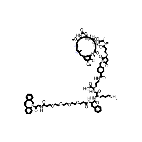 COc1cc2cc(c1Cl)N(C)C(=O)C[C@H](OC(=O)[C@H](C)N(C)C(=O)CCSC1CC(=O)N(CC3CCC(C(=O)NCCC[C@@H](NC(=O)[C@H](CCCCN)NC(=O)C(Cc4ccccc4)NC(=O)CCOCCOCCOCCOCCC(=O)NCC(=O)N4Cc5ccccc5C#CC5C=CC=CC54)C(=O)O)CC3)C1=O)[C@@H]1O[C@H]1[C@H](C)[C@@H]1CC(NC(=O)O1)[C@H](OC)/C=C/C=C(\C)C2